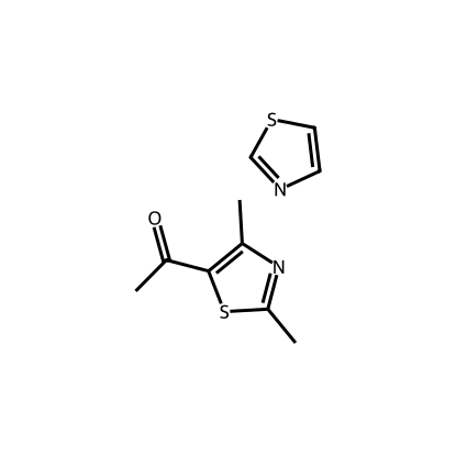 CC(=O)c1sc(C)nc1C.c1cscn1